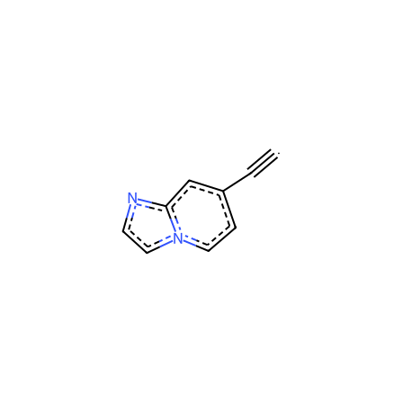 [C]#Cc1ccn2ccnc2c1